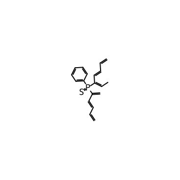 C=CC=CC(=C)P(=S)(/C(C=CC=C)=C/C)c1ccccc1